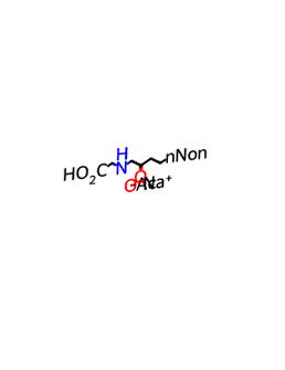 CC(=O)[O-].CCCCCCCCCCCC(=O)CNCC(=O)O.[Na+]